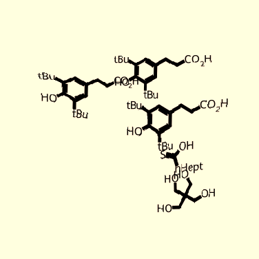 CC(C)(C)c1cc(CCC(=O)O)cc(C(C)(C)C)c1O.CC(C)(C)c1cc(CCC(=O)O)cc(C(C)(C)C)c1O.CC(C)(C)c1cc(CCC(=O)O)cc(C(C)(C)C)c1O.CCCCCCCC(O)=S.OCC(CO)(CO)CO